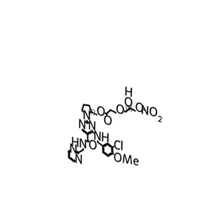 COc1ccc(CNc2nc(N3CCC[C@H]3COC(=O)CCOC[C@H](O)CO[N+](=O)[O-])ncc2C(=O)NCc2ncccn2)cc1Cl